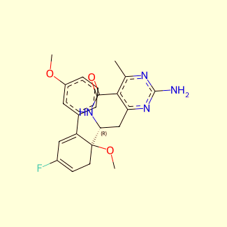 COc1cccc(C2=CC(F)=CCC2(OC)[C@H]2Cc3nc(N)nc(C)c3C(=O)N2)c1